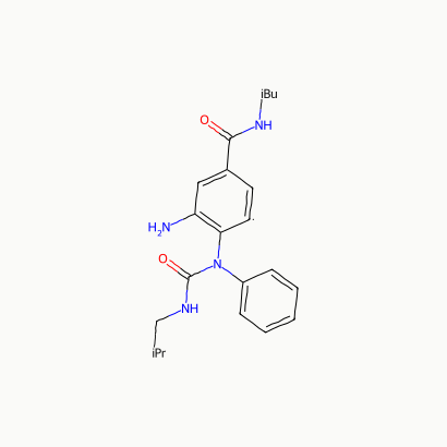 CCC(C)NC(=O)c1c[c]c(N(C(=O)NCC(C)C)c2ccccc2)c(N)c1